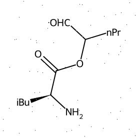 CCCC([C]=O)OC(=O)[C@@H](N)C(C)CC